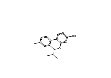 Cc1ccc2c(c1)[C@@H](C(C)C)Oc1nc(O)ncc1-2